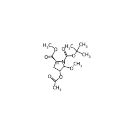 COC(=O)[C@@H]1CC(OC(C)=O)C(OC)N1C(=O)OC(C)(C)C